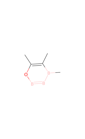 CB1B=BOC(C)=C1C